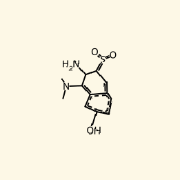 CN(C)C1=c2cc(O)ccc2=CC(=S(=O)=O)C1N